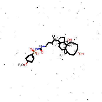 CC[C@@H]1CC[C@H](O)CCC(C)[C@H]2CCC3(C)[C@@H]([C@H](C)CCCNC(=O)NS(=O)(=O)c4ccc(OC(F)(F)F)cc4)CC[C@H]3[C@@H]2[C@@H]1O